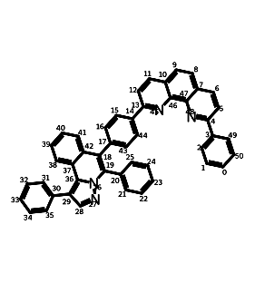 c1ccc(-c2ccc3ccc4ccc(-c5ccc(-c6c(-c7ccccc7)n7ncc(-c8ccccc8)c7c7ccccc67)cc5)nc4c3n2)cc1